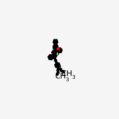 CCCCN(CCCC)c1ccc(C#Cc2cc3c(c4ccccc24)C=CC(c2ccccc2)(c2ccc(N4CCCC4)cc2)O3)cc1